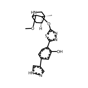 COC1C2CC[C@](C)(CN2)[C@H]1Oc1nnc(-c2ccc(-c3cn[nH]c3)cc2O)s1